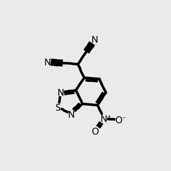 N#CC(C#N)c1ccc([N+](=O)[O-])c2nsnc12